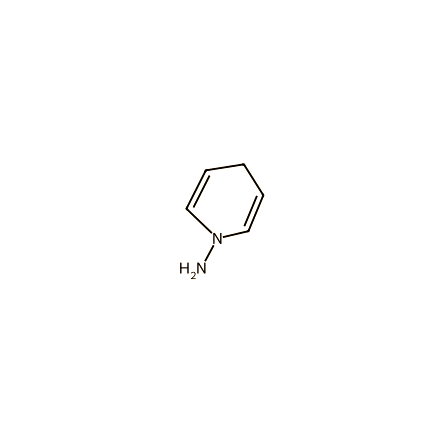 NN1C=CCC=C1